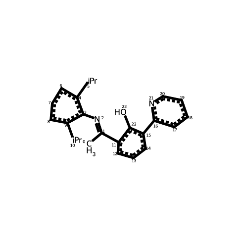 C/C(=N\c1c(C(C)C)cccc1C(C)C)c1cccc(-c2ccccn2)c1O